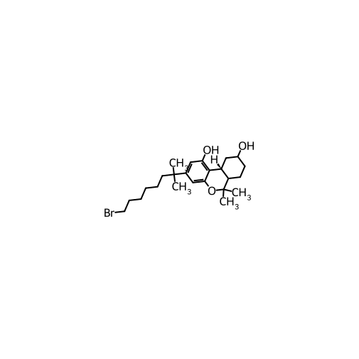 CC(C)(CCCCCCBr)c1cc(O)c2c(c1)OC(C)(C)C1CCC(O)C[C@@H]21